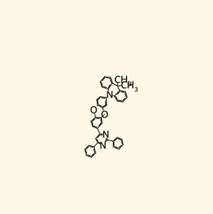 CC1(C)c2ccccc2N(c2ccc3c(c2)Oc2cc(-c4cc(-c5ccccc5)nc(-c5ccccc5)n4)ccc2O3)c2ccccc21